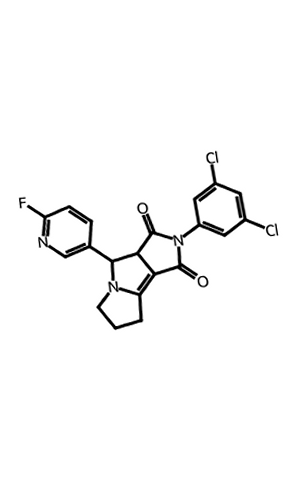 O=C1C2=C3CCCN3C(c3ccc(F)nc3)C2C(=O)N1c1cc(Cl)cc(Cl)c1